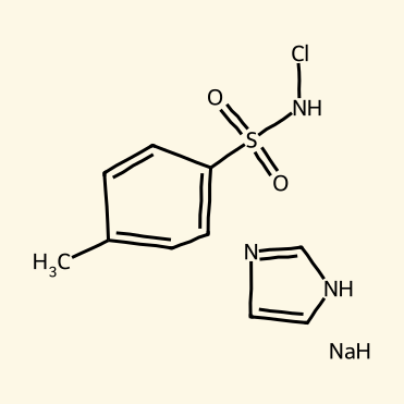 Cc1ccc(S(=O)(=O)NCl)cc1.[NaH].c1c[nH]cn1